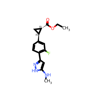 CCOC(=O)[C@H]1C[C@@H]1c1ccc(-c2cc(NC)[nH]n2)c(F)c1